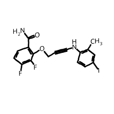 Cc1cc(I)ccc1NC#CCOc1c(C(N)=O)ccc(F)c1F